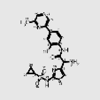 NC(C(=O)Nc1ccc(-c2cncc(C(F)(F)F)n2)cc1F)c1csc(NS(=O)(=O)C2CC2)n1